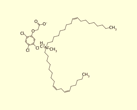 CCCCC/C=C\C/C=C\CCCCCCCC[N+](C)(C)CCCCCCCC/C=C\CCCCCCCC.O=C([O-])COc1cc(Cl)c(Cl)cc1Cl